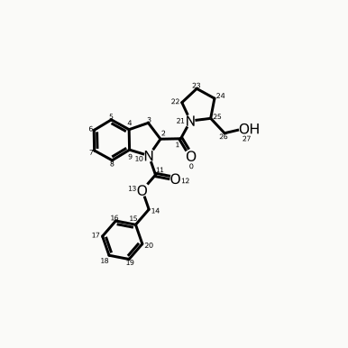 O=C(C1Cc2ccccc2N1C(=O)OCc1ccccc1)N1CCCC1CO